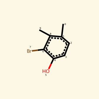 Cc1ccc(O)c(Br)c1C